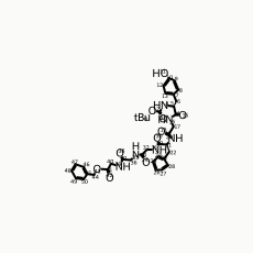 CC(C)(C)OC(=O)N[C@@H](Cc1ccc(O)cc1)C(=O)NCC(=O)N[C@@H](Cc1ccccc1)C(=O)NCC(=O)NCC(=O)NCC(=O)OCc1ccccc1